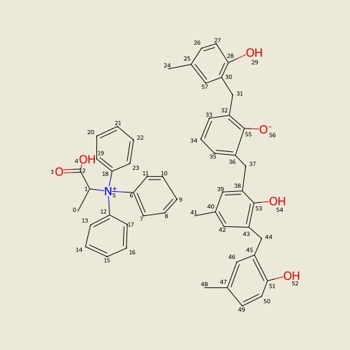 CC(C(=O)O)[N+](c1ccccc1)(c1ccccc1)c1ccccc1.Cc1ccc(O)c(Cc2cccc(Cc3cc(C)cc(Cc4cc(C)ccc4O)c3O)c2[O-])c1